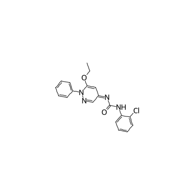 CCOc1cc(=NC(=O)Nc2ccccc2Cl)cnn1-c1ccccc1